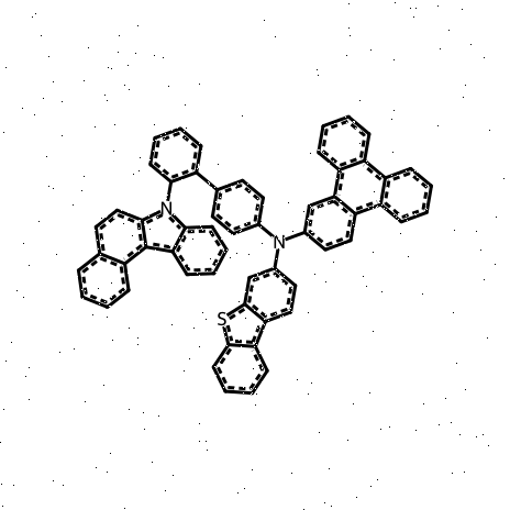 c1ccc(-n2c3ccccc3c3c4ccccc4ccc32)c(-c2ccc(N(c3ccc4c(c3)sc3ccccc34)c3ccc4c5ccccc5c5ccccc5c4c3)cc2)c1